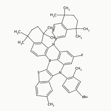 Cc1ccc2sc3c(c2c1)N(c1ccc(C(C)(C)C)cc1C)c1cc(F)cc2c1B3c1ccc3c(c1N2c1ccc2c(c1)C(C)(C)CCC2(C)C)C(C)(C)CCC3(C)C